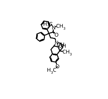 COc1ccc2c(c1)C1(C)CCN(CCC(C(=O)N(C)C)(c3ccccc3)c3ccccc3)C(C2)C1(O)O